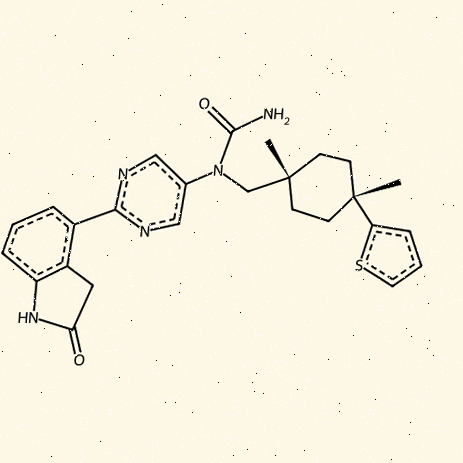 C[C@]1(CN(C(N)=O)c2cnc(-c3cccc4c3CC(=O)N4)nc2)CC[C@@](C)(c2cccs2)CC1